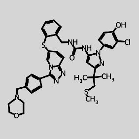 CSCC(C)(C)c1cc(NC(=O)NCc2ccccc2Sc2ccc3nnc(-c4ccc(CN5CCOCC5)cc4)n3c2)n(-c2ccc(O)c(Cl)c2)n1